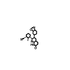 Cc1c(C#N)cccc1-c1nc2[nH]c(=O)ccc2cc1-c1ccc2ncoc2c1